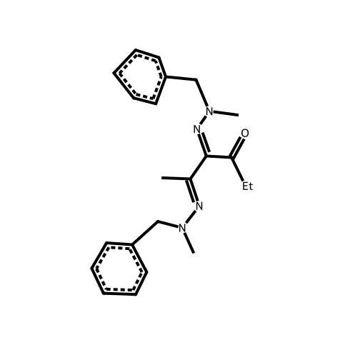 CCC(=O)C(=N\N(C)Cc1ccccc1)/C(C)=N/N(C)Cc1ccccc1